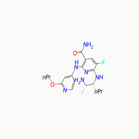 CCCOc1cc(Nc2nc(N[C@H](CCC)[C@H](C)N)c(F)cc2C(N)=O)ccn1